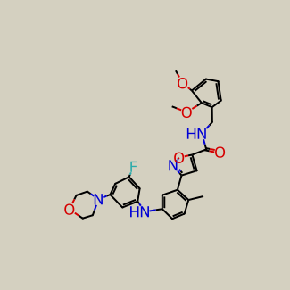 COc1cccc(CNC(=O)c2cc(-c3cc(Nc4cc(F)cc(N5CCOCC5)c4)ccc3C)no2)c1OC